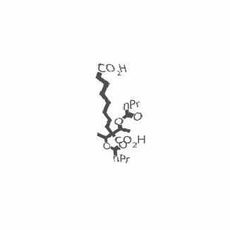 CCCC(=O)OC(C)C(CCCCCCCC(=O)O)(C(=O)O)C(C)OC(=O)CCC